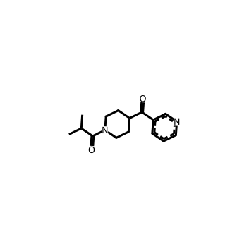 CC(C)C(=O)N1CCC(C(=O)c2cccnc2)CC1